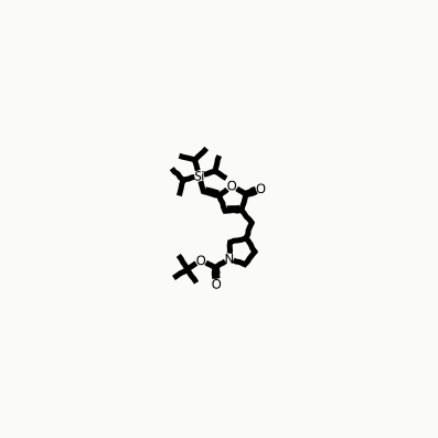 CC(C)[Si](/C=C1/C=C(CC2CCN(C(=O)OC(C)(C)C)C2)C(=O)O1)(C(C)C)C(C)C